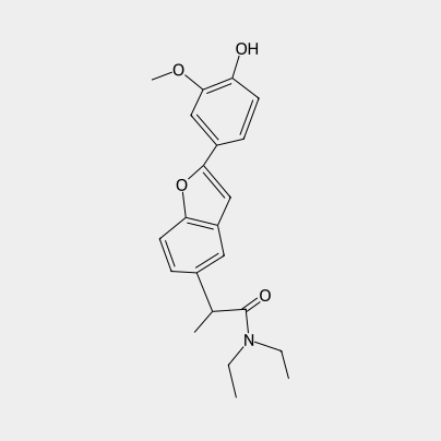 CCN(CC)C(=O)C(C)c1ccc2oc(-c3ccc(O)c(OC)c3)cc2c1